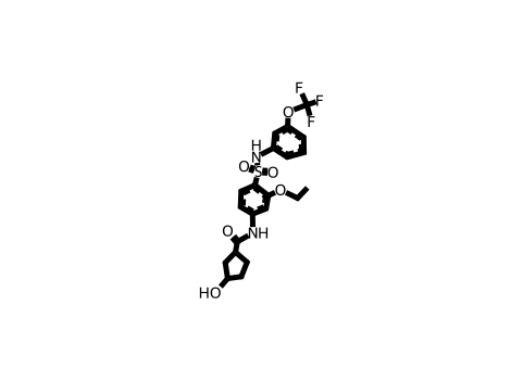 CCOc1cc(NC(=O)C2CCC(O)C2)ccc1S(=O)(=O)Nc1cccc(OC(F)(F)F)c1